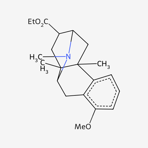 CCOC(=O)C1CC2(C)C3Cc4c(OC)cccc4C2(C)CC1N3C